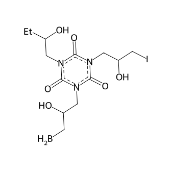 BCC(O)Cn1c(=O)n(CC(O)CC)c(=O)n(CC(O)CI)c1=O